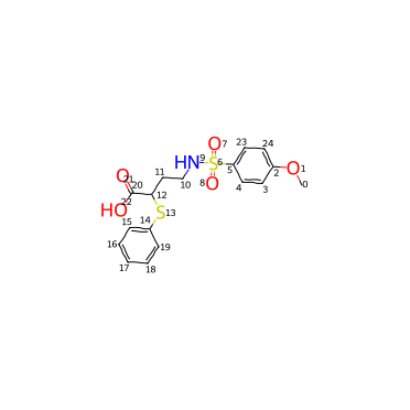 COc1ccc(S(=O)(=O)NCCC(Sc2ccccc2)C(=O)O)cc1